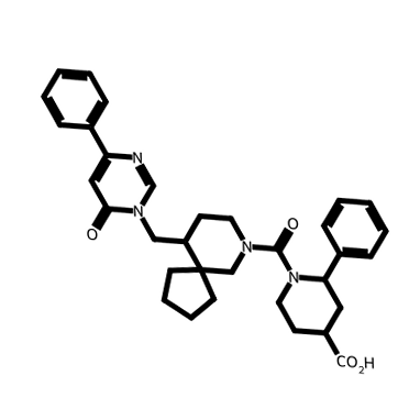 O=C(O)C1CCN(C(=O)N2CCC(Cn3cnc(-c4ccccc4)cc3=O)C3(CCCC3)C2)C(c2ccccc2)C1